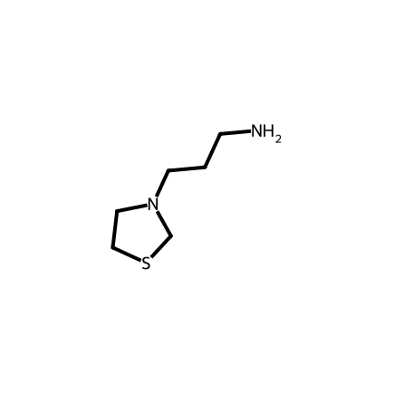 NCCCN1CCSC1